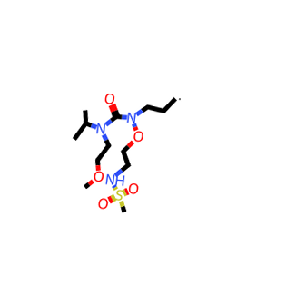 [CH2]CCN(OCCNS(C)(=O)=O)C(=O)N(CCOC)C(C)C